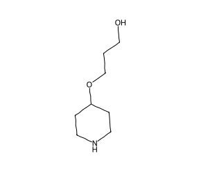 OCCCOC1CCNCC1